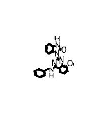 COc1cccc2c(NCc3ccccc3)nc(-n3c(=O)[nH]c4ccccc43)nc12